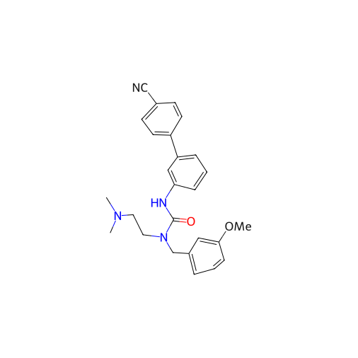 COc1cccc(CN(CCN(C)C)C(=O)Nc2cccc(-c3ccc(C#N)cc3)c2)c1